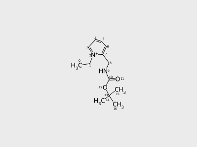 CC[n+]1ccccc1CNC(=O)OC(C)(C)C